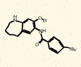 CCOc1cc2c(cc1NC(=O)c1ccc(C(C)(C)C)cc1)CCCCN2